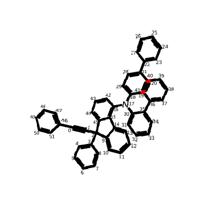 C(#CC1(c2ccccc2)c2ccccc2-c2c(N(c3ccc(-c4ccccc4)cc3)c3ccccc3-c3ccccc3)cccc21)c1ccccc1